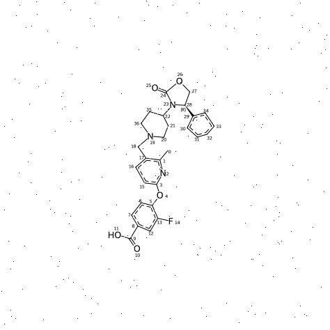 Cc1nc(Oc2ccc(C(=O)O)cc2F)ccc1CN1CCC(N2C(=O)OC[C@H]2c2ccccc2)CC1